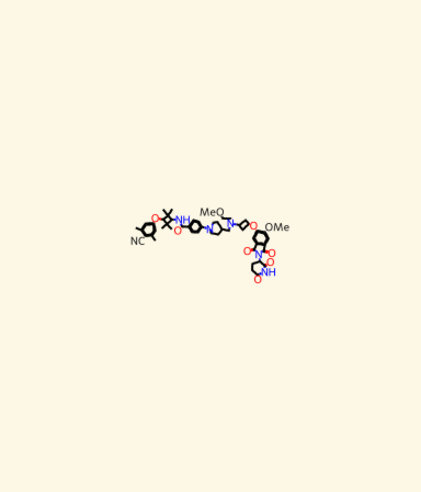 COCCN(CC1CCN(c2ccc(C(=O)NC3C(C)(C)C(Oc4cc(C)c(C#N)c(C)c4)C3(C)C)cc2)CC1)C1CC(Oc2cc3c(cc2OC)C(=O)N([C@@H]2CCC(=O)NC2=O)C3=O)C1